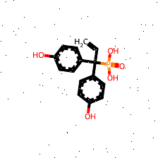 C=CC(c1ccc(O)cc1)(c1ccc(O)cc1)P(=O)(O)O